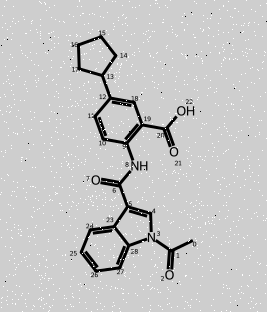 CC(=O)n1cc(C(=O)Nc2ccc(C3CCCC3)cc2C(=O)O)c2ccccc21